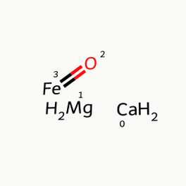 [CaH2].[MgH2].[O]=[Fe]